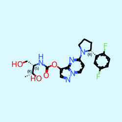 C[C@@H](O)[C@H](CO)NC(=O)Oc1cnn2ccc(N3CCC[C@@H]3c3cc(F)ccc3F)nc12